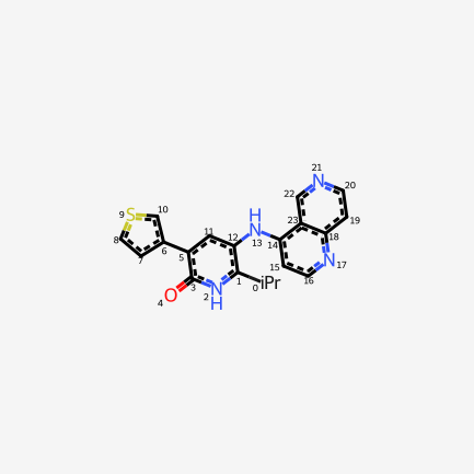 CC(C)c1[nH]c(=O)c(-c2ccsc2)cc1Nc1ccnc2ccncc12